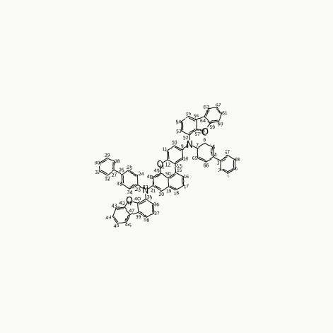 C1=C=CC(C2=CCC(N(c3ccc4c(c3)-c3cccc5cc(N(c6ccc(-c7ccccc7)cc6)c6cccc7c6oc6ccccc67)cc(c35)O4)c3cccc4c3oc3ccccc34)C=C2)=CC=1